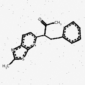 CC(=O)C(Cc1ccccc1)c1ccc2nc(C)sc2n1